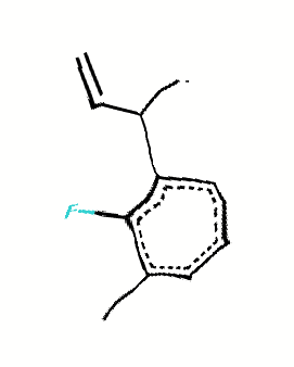 [CH2]C(C=C)c1cccc(C)c1F